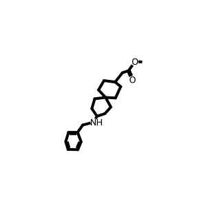 COC(=O)CC1CCC2(CC1)CCC(NCc1ccccc1)CC2